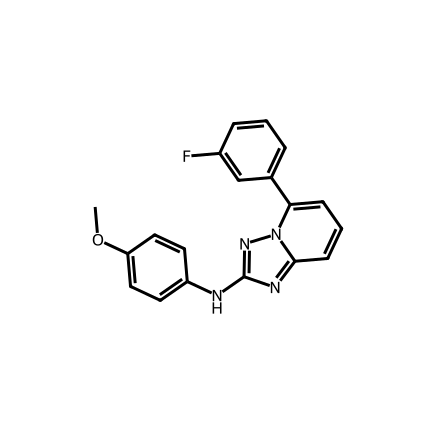 COc1ccc(Nc2nc3cccc(-c4cccc(F)c4)n3n2)cc1